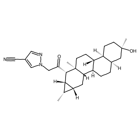 C[C@H]1[C@H]2C[C@H]3[C@@H]4CC[C@@H]5C[C@](C)(O)CC[C@@H]5[C@H]4CC[C@]3(C)[C@@H](C(=O)Cn3cc(C#N)cn3)[C@@H]12